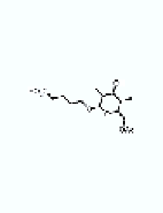 CC(=O)OCC1O[C@@H](OCCCCC(=O)O)C(C)[C@@H](O)[C@H]1C